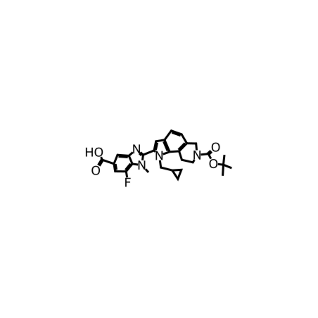 Cn1c(-c2cc3ccc4c(c3n2CC2CC2)CCN(C(=O)OC(C)(C)C)C4)nc2cc(C(=O)O)cc(F)c21